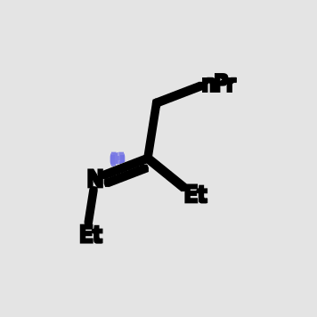 [CH2]C/C(CCCC)=N\CC